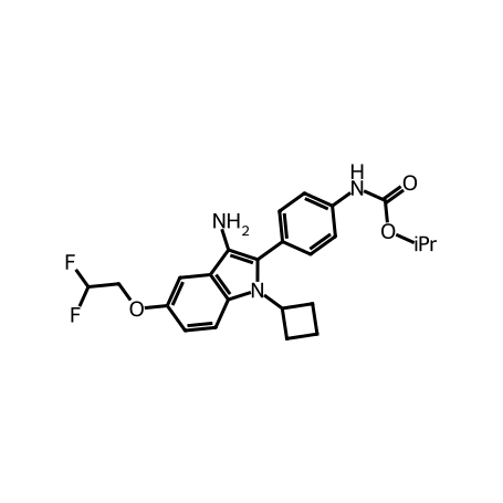 CC(C)OC(=O)Nc1ccc(-c2c(N)c3cc(OCC(F)F)ccc3n2C2CCC2)cc1